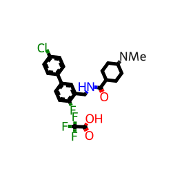 CNC1CCC(C(=O)NCc2cc(-c3ccc(Cl)cc3)ccc2F)CC1.O=C(O)C(F)(F)F